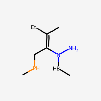 CBN(N)/C(CPC)=C(\C)CC